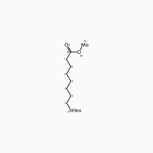 CCCCCCCCCCCCCC(=O)[O][Mo]